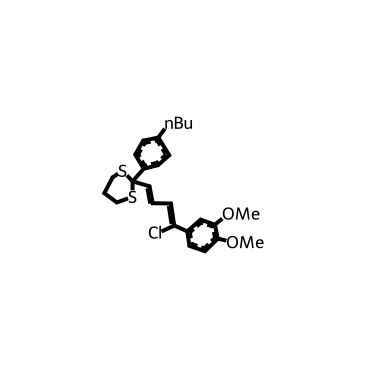 CCCCc1ccc(C2(/C=C/C=C(\Cl)c3ccc(OC)c(OC)c3)SCCCS2)cc1